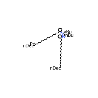 CCCCCCCCCCCCCCCCCCCCCCCC=CCCc1ccccc1N=C(CCCC)C(CCCC)=Nc1ccccc1CCC=CCCCCCCCCCCCCCCCCCCCCCCC.[Pd]